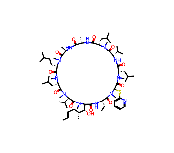 C/C=C/C[C@@H](C)[C@@H](O)C1C(=O)N[C@@H](CC)C(=O)N(C)[C@H](Sc2ccccn2)C(=O)N(C)[C@@H](CC(C)C)C(=O)N[C@@H](C(C)C)C(=O)N(C)[C@@H](CC(C)C)C(=O)N[C@@H](C)C(=O)N[C@H](C)C(=O)N(C)[C@@H](CCC(C)C)C(=O)N(C)[C@@H](CC(C)C)C(=O)N(C)[C@@H](C(C)C)C(=O)N1C